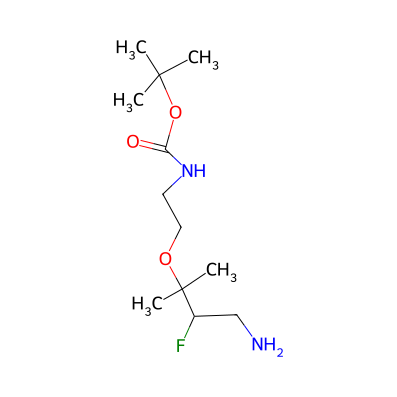 CC(C)(C)OC(=O)NCCOC(C)(C)C(F)CN